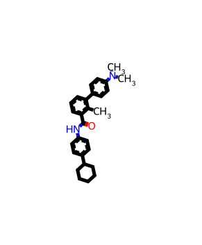 Cc1c(C(=O)Nc2ccc(C3CCCCC3)cc2)cccc1-c1ccc(N(C)C)cc1